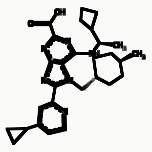 C[C@@H](Nc1nc(C(=O)O)nc2nc(-c3cc(C4CC4)ccn3)n(C[C@H]3CC[C@H](C)CC3)c12)C1CCC1